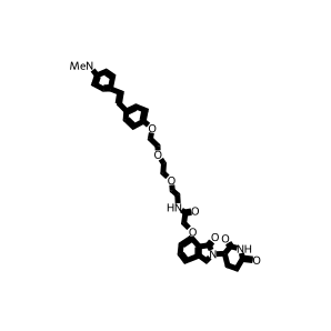 CNc1ccc(/C=C/c2ccc(OCCOCCOCCNC(=O)COc3cccc4c3C(=O)N(C3CCC(=O)NC3=O)C4)cc2)cc1